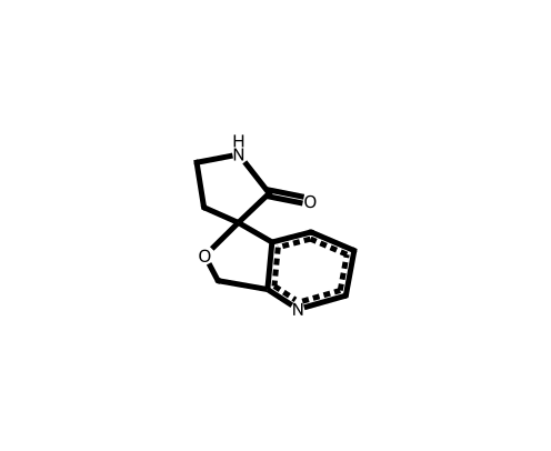 O=C1NCCC12OCc1ncccc12